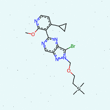 COc1nccc(C2CC2)c1-c1ncc2nn(COCC[Si](C)(C)C)c(Br)c2n1